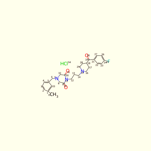 Cc1cccc(CN2CC(=O)N(CCCN3CCC(C(=O)c4ccc(F)cc4)CC3)C(=O)C2)c1.Cl